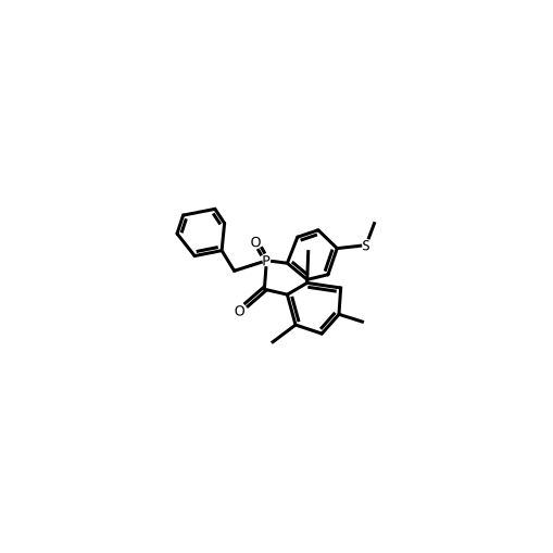 CSc1ccc(P(=O)(Cc2ccccc2)C(=O)c2c(C)cc(C)cc2C)cc1